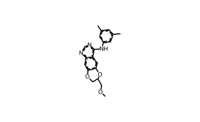 COCC1COc2cc3ncnc(Nc4cc(C)cc(C)c4)c3cc2O1